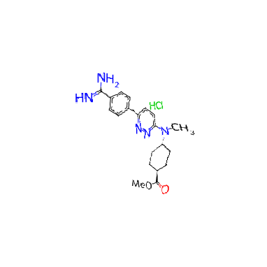 COC(=O)[C@H]1CC[C@H](N(C)c2ccc(-c3ccc(C(=N)N)cc3)nn2)CC1.Cl